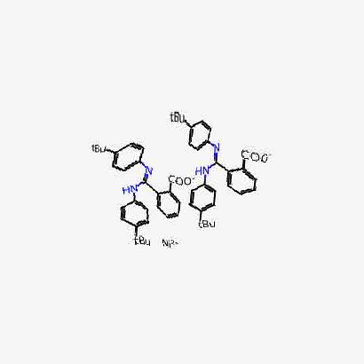 CC(C)(C)c1ccc(N=C(Nc2ccc(C(C)(C)C)cc2)c2ccccc2C(=O)[O-])cc1.CC(C)(C)c1ccc(N=C(Nc2ccc(C(C)(C)C)cc2)c2ccccc2C(=O)[O-])cc1.[Ni+2]